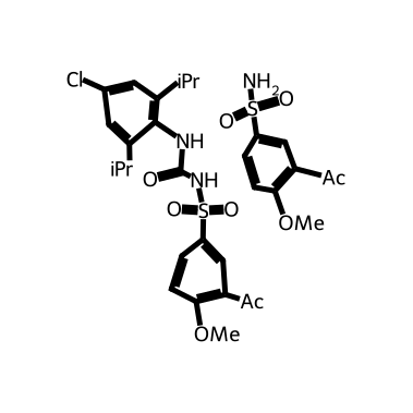 COc1ccc(S(=O)(=O)NC(=O)Nc2c(C(C)C)cc(Cl)cc2C(C)C)cc1C(C)=O.COc1ccc(S(N)(=O)=O)cc1C(C)=O